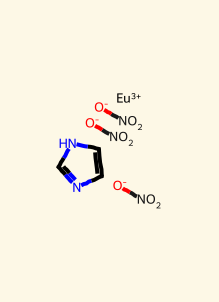 O=[N+]([O-])[O-].O=[N+]([O-])[O-].O=[N+]([O-])[O-].[Eu+3].c1c[nH]cn1